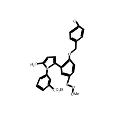 CCOC(=O)c1cccc(-n2c(C)ccc2-c2cc(SOOC)ccc2OCc2ccc(Cl)cc2)c1